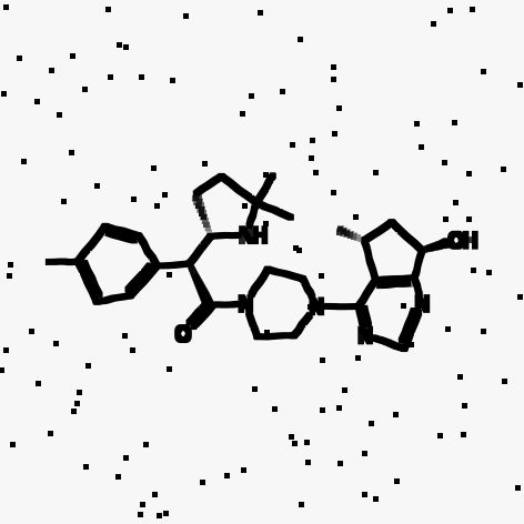 Cc1ccc([C@H](C(=O)N2CCN(c3ncnc4c3[C@H](C)C[C@H]4O)CC2)[C@@H]2CCC(C)(C)N2)cc1